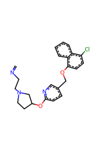 C=NCCN1CCC(Oc2ccc(COc3ccc(Cl)c4ccccc34)cn2)C1